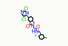 Cc1ccc(F)c(CNC(=O)CN2Cc3ccc(-c4nc(Cl)ncc4Cl)cc3C2=O)c1